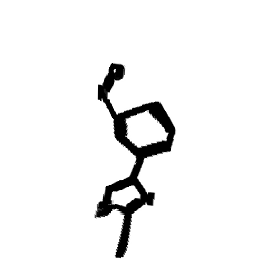 Cc1nc(-c2cccc(N=O)c2)cs1